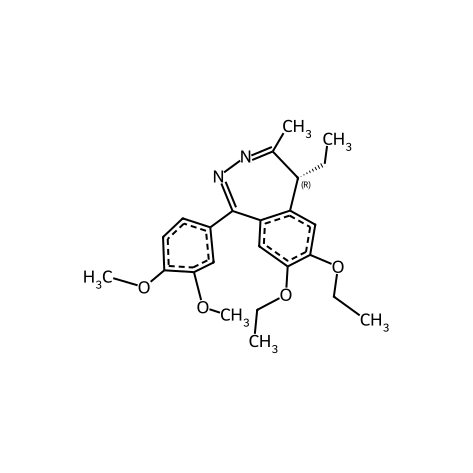 CCOc1cc2c(cc1OCC)[C@@H](CC)C(C)=NN=C2c1ccc(OC)c(OC)c1